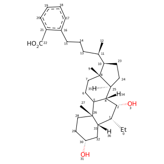 CC[C@H]1[C@@H](O)[C@@H]2C(CC[C@]3(C)[C@@H]([C@H](C)CCCc4ccccc4C(=O)O)CC[C@@H]23)[C@@]2(C)CC[C@@H](O)C[C@@H]12